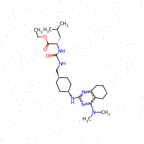 CCOC(=O)[C@H](CC(C)C)NC(=O)NC[C@H]1CC[C@@H](Nc2nc3c(c(N(C)C)n2)CCCC3)CC1